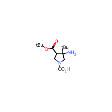 CC(C)(C)OC(=O)C1CN(C(=O)O)CC1(N)C(C)(C)C